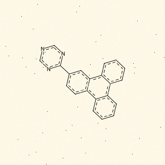 c1ccc2c(c1)c1ccccc1c1cc(-c3ncncn3)ccc21